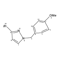 COc1ccc(Cn2ccc(C(C)C)n2)cc1